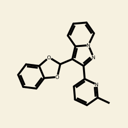 Cc1cccc(-c2nn3ccccc3c2C2Oc3ccccc3O2)n1